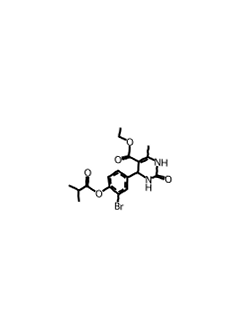 CCOC(=O)C1=C(C)NC(=O)NC1c1ccc(OC(=O)C(C)C)c(Br)c1